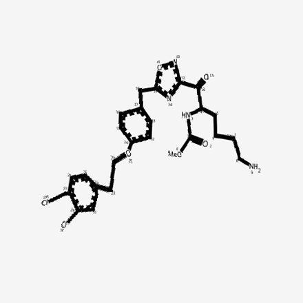 COC(=O)NC(CCCCN)C(=O)c1noc(Cc2ccc(OCCc3ccc(Cl)c(Cl)c3)cc2)n1